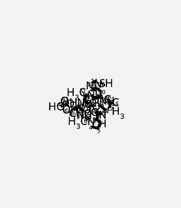 CC(=O)N1CCCC1C(=O)N[C@@H](CC(C)C)C(=O)N[C@@H](Cc1cncn1S)C(=O)N[C@@H](C)C(=O)N[C@H](C(N)=O)[C@@H](C)OP(=O)(O)O